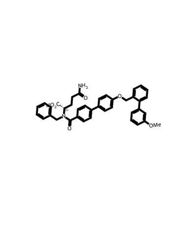 COc1cccc(-c2ccccc2COc2ccc(-c3ccc(C(=O)N(Cc4ccccc4)[C@@H](CCC(N)=O)C(=O)O)cc3)cc2)c1